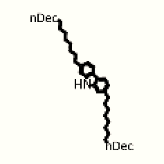 CCCCCCCCCCCCCCCCCCc1ccc2c(c1)[nH]c1cc(CCCCCCCCCCCCCCCCCC)ccc12